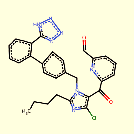 CCCCc1nc(Cl)c(C(=O)c2cccc(C=O)n2)n1Cc1ccc(-c2ccccc2-c2nnn[nH]2)cc1